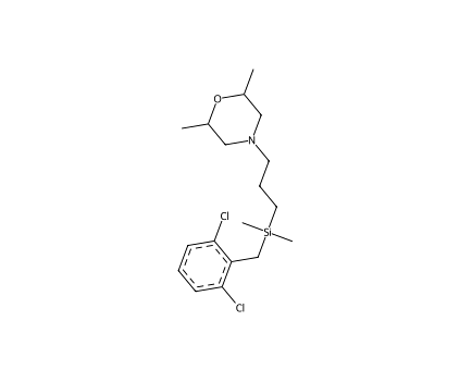 CC1CN(CCC[Si](C)(C)Cc2c(Cl)cccc2Cl)CC(C)O1